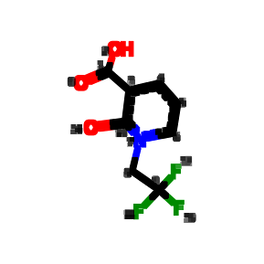 O=C(O)c1cccn(CC(F)(F)F)c1=O